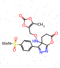 CNS(=O)(=O)c1ccc(C2=NN=C3OC(=O)CCC32NOCc2oc(=O)oc2C)cc1